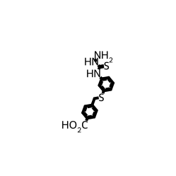 NNC(=S)Nc1cccc(SCc2ccc(C(=O)O)cc2)c1